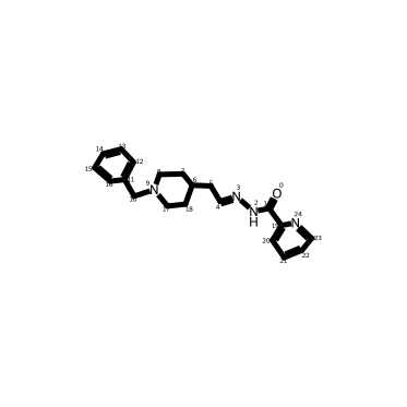 O=C(NN=CCC1CCN(Cc2ccccc2)CC1)c1ccccn1